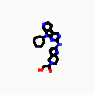 O=C(CO)N1CCc2nc(Nc3ncc4c5ccncc5n(C5CCCCCC5)c4n3)ccc2C1